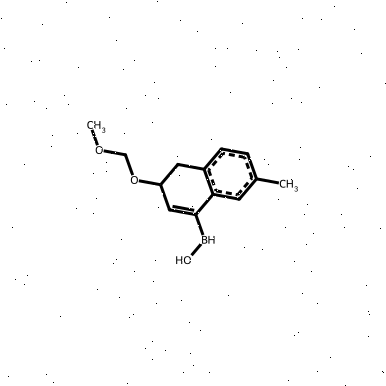 COCOC1C=C(BO)c2cc(C)ccc2C1